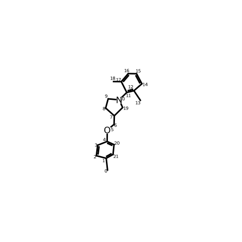 Cc1ccc(OCC2CCN(c3c(C)cccc3C)C2)cc1